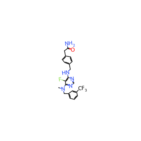 CN(Cc1cccc(C(F)(F)F)c1)c1ncnc(NCc2ccc(CC(N)=O)cc2)c1F